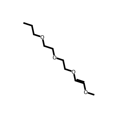 CCCOCCOCCOC=COC